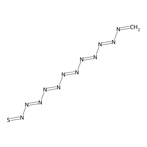 C=N/N=N/N=N/N=N/N=N/N=N/N=S